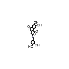 O=c1oc2cc(/C=C/c3ccc(O)c(O)c3)oc(=O)c2c2cc(O)c(O)cc12